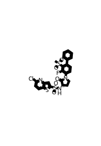 CS(=O)(=O)c1c(-c2ccccc2)ccc(N2CC[C@H](NS(=O)(=O)c3cc4nc(Cl)ccc4s3)C2=O)c1F